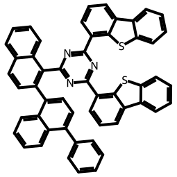 c1ccc(-c2ccc(-c3ccc4ccccc4c3-c3nc(-c4cccc5c4sc4ccccc45)nc(-c4cccc5c4sc4ccccc45)n3)c3ccccc23)cc1